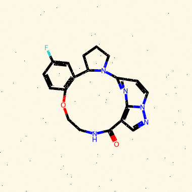 O=C1NCCOc2ccc(F)cc2C2CCCN2c2ccn3ncc1c3n2